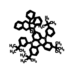 CC(C)(C)c1cccc(N2c3cc(C(C)(C)C)ccc3B3c4ccc(C(C)(C)C)cc4N(c4cccc(C(C)(C)C)c4)c4cc(N5c6ccccc6C6(c7ccccc7)Cc7ccccc7CC56C)cc2c43)c1